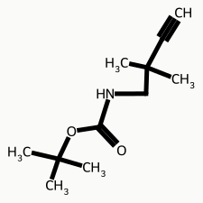 C#CC(C)(C)CNC(=O)OC(C)(C)C